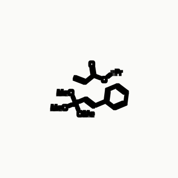 CO[Si](C=Cc1ccccc1)(OC)OC.[CH2]CCOC(=O)C=C